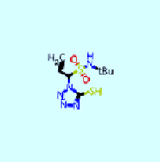 C=CC(n1nnnc1S)S(=O)(=O)NC(C)(C)C